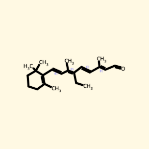 CCC(/C=C/C(C)=C/C=O)=C(C)\C=C\C1=C(C)CCCC1(C)C